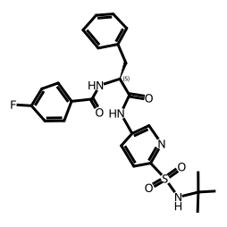 CC(C)(C)NS(=O)(=O)c1ccc(NC(=O)[C@H](Cc2ccccc2)NC(=O)c2ccc(F)cc2)cn1